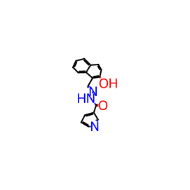 O=C(NN=Cc1c(O)ccc2ccccc12)c1cccnc1